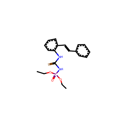 CCOP(=O)(NC(=S)Nc1ccccc1C=Cc1ccccc1)OCC